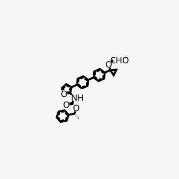 C[C@@H](OC(=O)Nc1occc1-c1ccc(-c2ccc(C3(OC=O)CC3)cc2)cc1)c1ccccc1